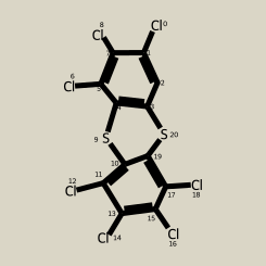 Clc1cc2c(c(Cl)c1Cl)Sc1c(Cl)c(Cl)c(Cl)c(Cl)c1S2